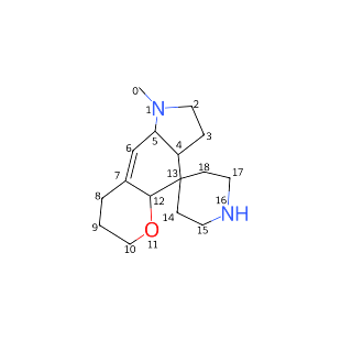 CN1CCC2C1C=C1CCCOC1C21CCNCC1